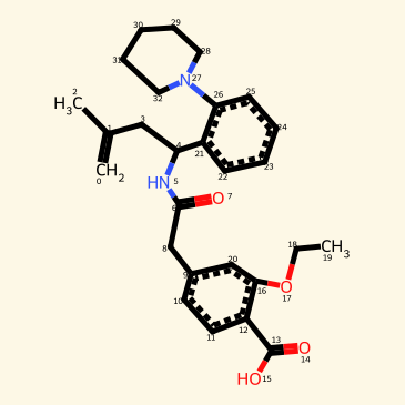 C=C(C)CC(NC(=O)Cc1ccc(C(=O)O)c(OCC)c1)c1ccccc1N1CCCCC1